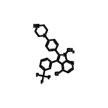 Cn1c(-c2ccc(N3CCNCC3)cc2)c(-c2cccc(C(F)(F)F)c2)c2c(Cl)ccnc21